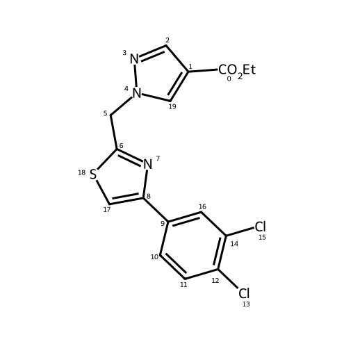 CCOC(=O)c1cnn(Cc2nc(-c3ccc(Cl)c(Cl)c3)cs2)c1